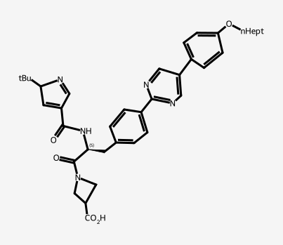 CCCCCCCOc1ccc(-c2cnc(-c3ccc(C[C@H](NC(=O)C4=CC(C(C)(C)C)N=C4)C(=O)N4CC(C(=O)O)C4)cc3)nc2)cc1